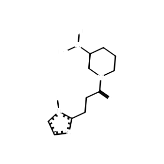 CCCn1ccnc1CCC(=O)N1CCCC(N(C)C)C1